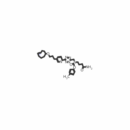 Cc1ccc(OC(=O)N(CCCC(N)=O)Cc2nnc(-c3ccc(CCCOC4CC/C=C/CCC4)cn3)nn2)cc1